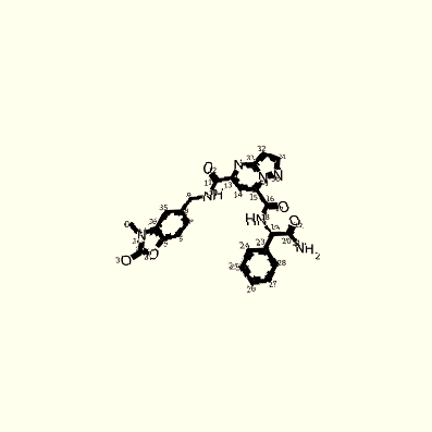 Cn1c(=O)oc2ccc(CNC(=O)c3cc(C(=O)N[C@@H](C(N)=O)c4ccccc4)n4nccc4n3)cc21